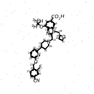 [2H]C([2H])([2H])Oc1cc(C(=O)O)cc2c1nc(CN1CCC(c3cccc(OCc4ccc(C#N)cc4F)n3)CC1)n2C[C@@H]1CCO1